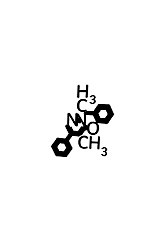 Cc1c(-c2ccccc2)cnn(C(C)c2ccccc2)c1=O